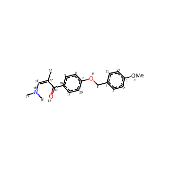 COc1ccc(COc2ccc(C(=O)/C(C)=C\N(C)C)cc2)cc1